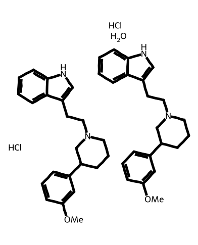 COc1cccc(C2CCCN(CCc3c[nH]c4ccccc34)C2)c1.COc1cccc(C2CCCN(CCc3c[nH]c4ccccc34)C2)c1.Cl.Cl.O